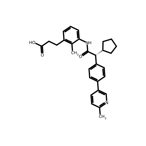 Cc1ccc(-c2ccc([C@H](C(=O)Nc3cccc(CCC(=O)O)c3C)C3CCCC3)cc2)cn1